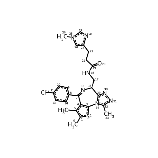 Cc1sc2c(c1C)C(c1ccc(Cl)cc1)=N[C@@H](CNC(=O)CCc1cn(C)cn1)c1nnc(C)n1-2